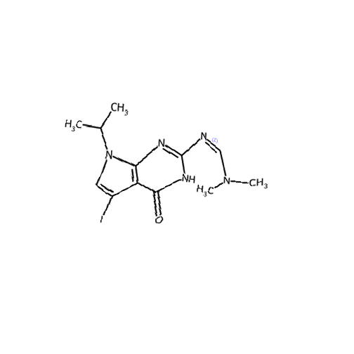 CC(C)n1cc(I)c2c(=O)[nH]c(/N=C\N(C)C)nc21